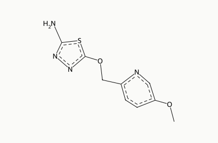 COc1ccc(COc2nnc(N)s2)nc1